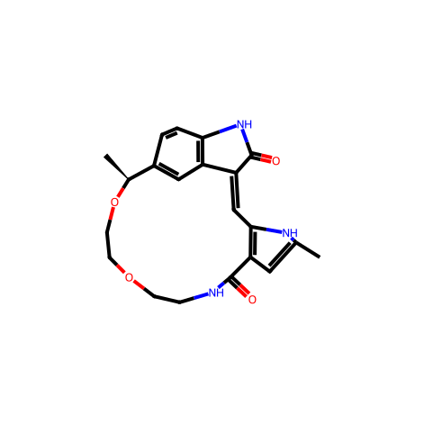 Cc1cc2c([nH]1)/C=C1\C(=O)Nc3ccc(cc31)[C@H](C)OCCOCCNC2=O